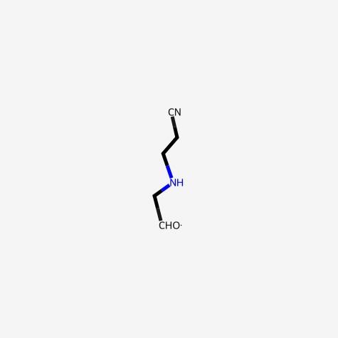 N#CCCNC[C]=O